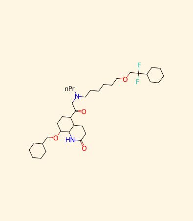 CCCN(CCCCCCOCC(F)(F)C1CCCCC1)CC(=O)C1CCC(OCC2CCCCC2)C2NC(=O)CCC12